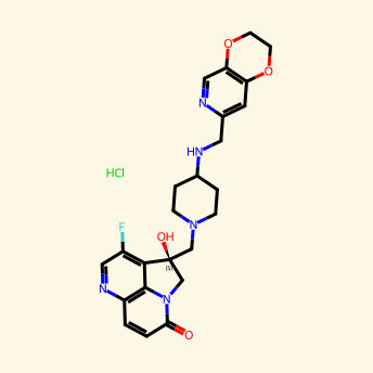 Cl.O=c1ccc2ncc(F)c3c2n1C[C@@]3(O)CN1CCC(NCc2cc3c(cn2)OCCO3)CC1